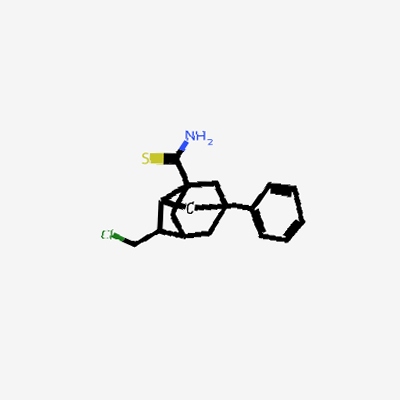 NC(=S)C12CC3CC(c4ccccc4)(CC1C3CCl)C2